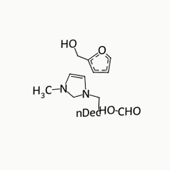 CCCCCCCCCCCN1C=CN(C)C1.O=CO.OCc1ccco1